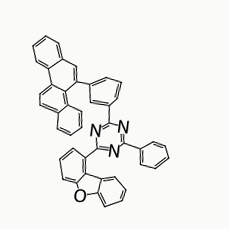 c1ccc(-c2nc(-c3cccc(-c4cc5ccccc5c5ccc6ccccc6c45)c3)nc(-c3cccc4oc5ccccc5c34)n2)cc1